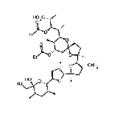 CCC(=O)O[C@H]([C@H](C)[C@H]1O[C@@]2(CC[C@@](C)([C@H]3CC[C@@](C)(C4O[C@@H]([C@H]5O[C@@](O)(CO)[C@H](C)C[C@@H]5C)C[C@@H]4C)O3)O2)C[C@H](OC(=O)CC)[C@H]1C)[C@@H](C)C(=O)O.[CaH2]